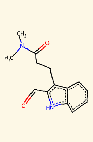 CN(C)C(=O)CCc1c(C=O)[nH]c2ccccc12